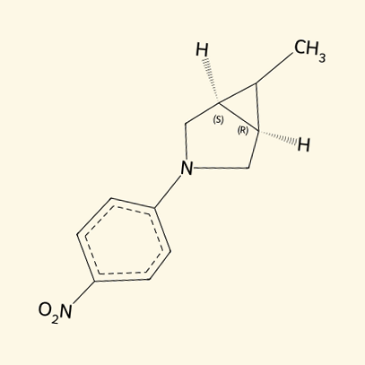 CC1[C@H]2CN(c3ccc([N+](=O)[O-])cc3)C[C@@H]12